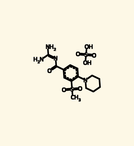 CS(=O)(=O)c1cc(C(=O)N=C(N)N)ccc1N1CCCCC1.O=S(=O)(O)O